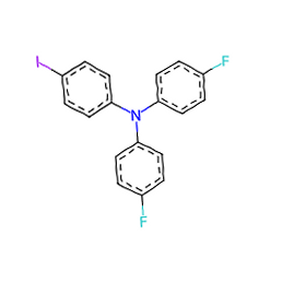 Fc1ccc(N(c2ccc(F)cc2)c2ccc(I)cc2)cc1